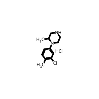 Cc1ccc(N2CCNCC2C)cc1Cl.Cl